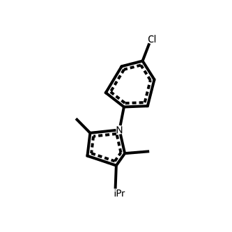 Cc1cc(C(C)C)c(C)n1-c1ccc(Cl)cc1